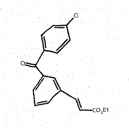 CCOC(=O)/C=C/c1cccc(C(=O)c2ccc(Cl)cc2)c1